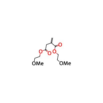 C=C(CC(=O)OCCOC)C(=O)OCCOC